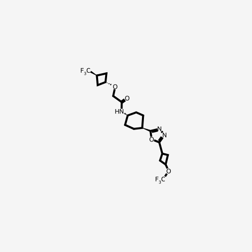 O=C(CO[C@H]1C[C@H](C(F)(F)F)C1)N[C@H]1CC[C@H](c2nnc(C3CC(OC(F)(F)F)C3)o2)CC1